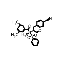 Cc1cc(C)cc(C(=O)[N+](C)([C@H]([C]=O)Cc2ccc(C#N)cc2)S(=O)(=O)c2ccccc2)c1